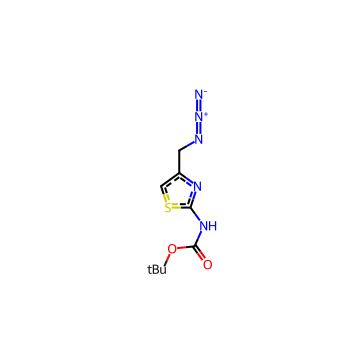 CC(C)(C)OC(=O)Nc1nc(CN=[N+]=[N-])cs1